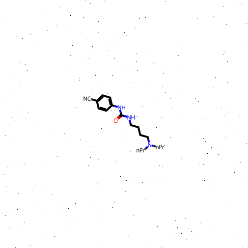 CCCN(CCC)CCCCNC(=O)Nc1ccc(C#N)cc1